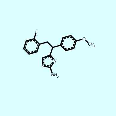 COc1ccc(C(Cc2ccccc2F)c2csc(N)n2)cc1